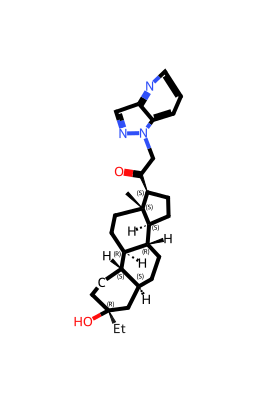 CC[C@@]1(O)CC[C@H]2[C@@H](CC[C@@H]3[C@@H]2CC[C@]2(C)[C@@H](C(=O)Cn4ncc5ncccc54)CC[C@@H]32)C1